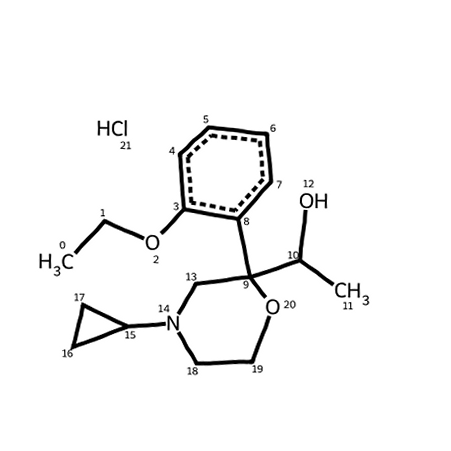 CCOc1ccccc1C1(C(C)O)CN(C2CC2)CCO1.Cl